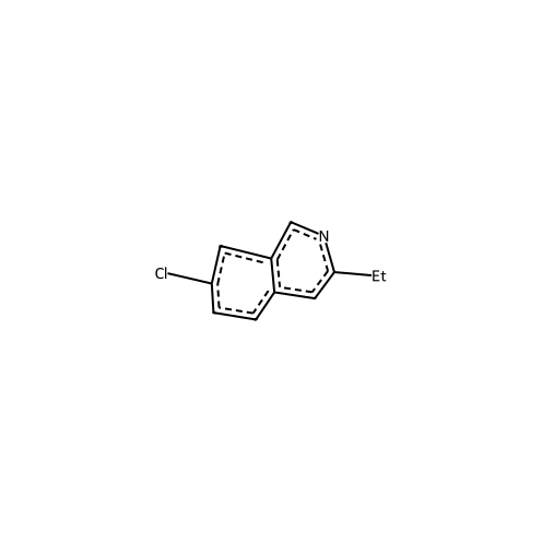 CCc1cc2ccc(Cl)cc2cn1